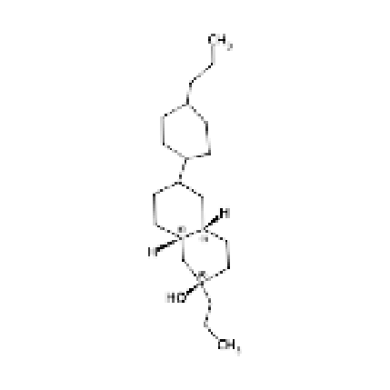 CCCC1CCC(C2CC[C@H]3C[C@@](O)(CCC)CC[C@H]3C2)CC1